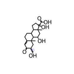 CC12C/C(=C/O)C(=O)C=C1CCC1C2C(O)CC2(C)C1CC[C@]2(O)C(=O)O